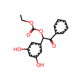 CCOC(=O)OC(C(=O)c1ccccc1)c1cc(O)cc(O)c1